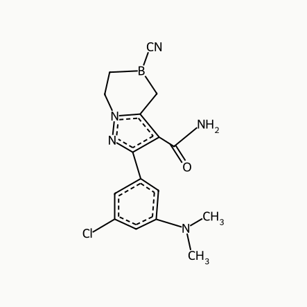 CN(C)c1cc(Cl)cc(-c2nn3c(c2C(N)=O)CB(C#N)CC3)c1